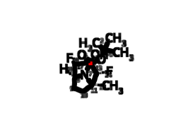 CC(C)(C)OC(=O)N1[C@H]2CC[C@]1(C)[C@@H](F)C(O)[C@H]2F